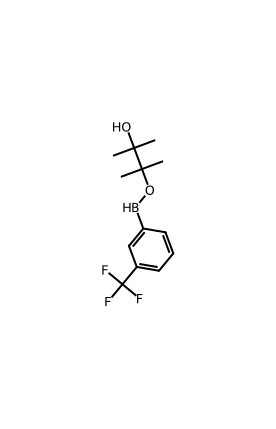 CC(C)(O)C(C)(C)OBc1cccc(C(F)(F)F)c1